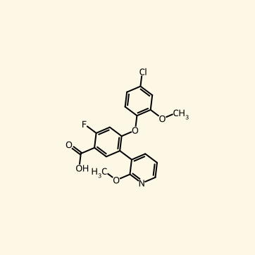 COc1cc(Cl)ccc1Oc1cc(F)c(C(=O)O)cc1-c1cccnc1OC